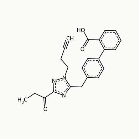 C#CCCn1nc(C(=O)CC)nc1Cc1ccc(-c2ccccc2C(=O)O)cc1